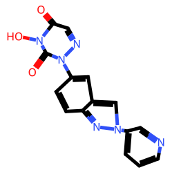 O=c1cnn(-c2ccc3nn(-c4cccnc4)cc3c2)c(=O)n1O